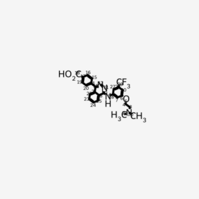 CN(C)CCOc1cc(Nc2nnc(-c3ccc(C(=O)O)cc3)c3ccccc23)cc(C(F)(F)F)c1